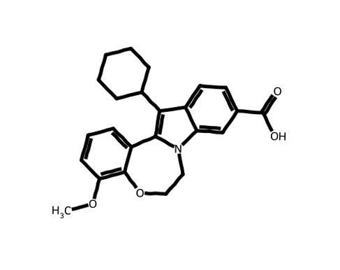 COc1cccc2c1OCCn1c-2c(C2CCCCC2)c2ccc(C(=O)O)cc21